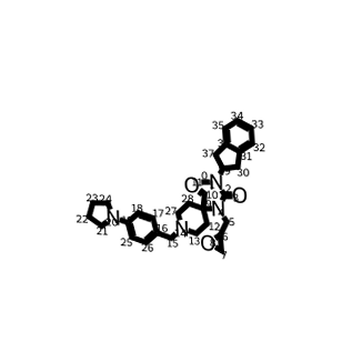 CN(C(=O)N(CC1CO1)C1(C=O)CCN(Cc2ccc(N3CCCC3)cc2)CC1)C1Cc2ccccc2C1